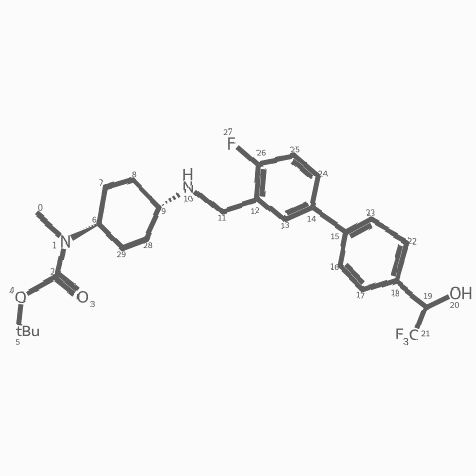 CN(C(=O)OC(C)(C)C)[C@H]1CC[C@H](NCc2cc(-c3ccc(C(O)C(F)(F)F)cc3)ccc2F)CC1